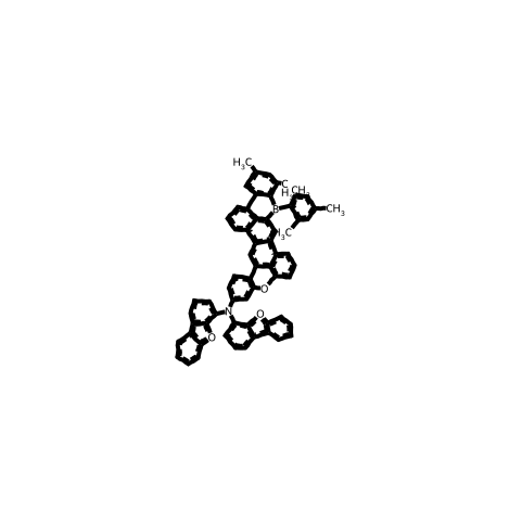 Cc1cc(C)c(B2c3c(C)cc(C)cc3-c3cccc4c3c2cc2c3cccc5c3c(cc42)-c2ccc(N(c3cccc4c3oc3ccccc34)c3cccc4c3oc3ccccc34)cc2O5)c(C)c1